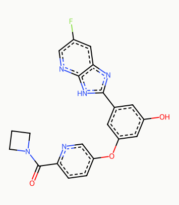 O=C(c1ccc(Oc2cc(O)cc(-c3nc4cc(F)cnc4[nH]3)c2)cn1)N1CCC1